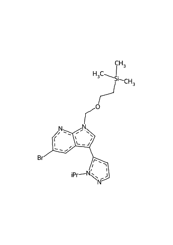 CC(C)n1nccc1-c1cn(COCC[Si](C)(C)C)c2ncc(Br)cc12